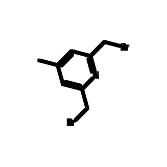 Cc1cc(CBr)nc(CBr)c1